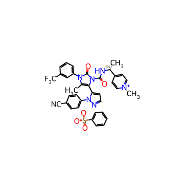 Cc1c(-c2ccnn2-c2ccc(C#N)cc2)n(C(=O)N[C@H](C)c2cc[n+](C)cc2)c(=O)n1-c1cccc(C(F)(F)F)c1.O=S(=O)([O-])c1ccccc1